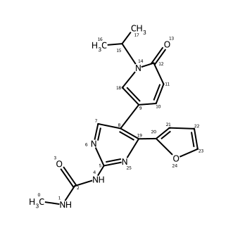 CNC(=O)Nc1ncc(-c2ccc(=O)n(C(C)C)c2)c(-c2ccco2)n1